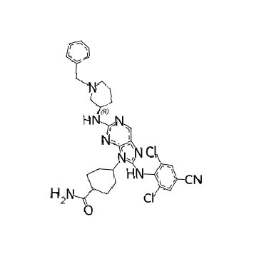 N#Cc1cc(Cl)c(Nc2nc3cnc(N[C@@H]4CCCN(Cc5ccccc5)C4)nc3n2C2CCC(C(N)=O)CC2)c(Cl)c1